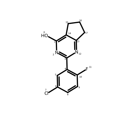 Oc1nc(-c2cc(Cl)ccc2F)nc2c1CCC2